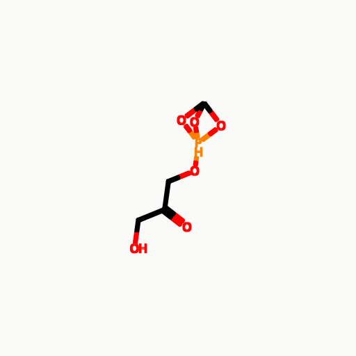 O=C(CO)CO[PH]12OC(O1)O2